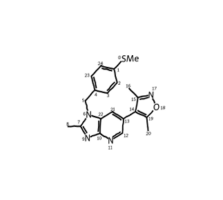 CSc1ccc(Cn2c(C)nc3ncc(-c4c(C)noc4C)cc32)cc1